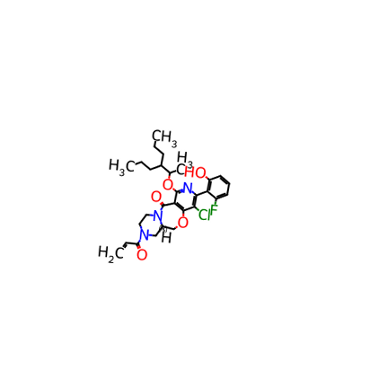 C=CC(=O)N1CCN2C(=O)c3c(OC(C)C(CCC)CCC)nc(-c4c(O)cccc4F)c(Cl)c3OC[C@H]2C1